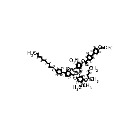 C=CCCCCCCCCOc1ccc(-c2ccc(C(=O)Oc3cc(N(C)C)c(O[C@@H](C)CCC=C)cc3/N=N/c3cc(OC(=O)c4ccc(-c5ccc(OCCCCCCCCCC)cc5)cc4)c([N+](=O)[O-])cc3OC(C)C)cc2)cc1